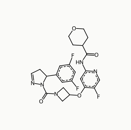 O=C(Nc1cc(OC2CN(C(=O)N3N=CCC3c3cc(F)cc(F)c3)C2)c(F)cn1)C1CCOCC1